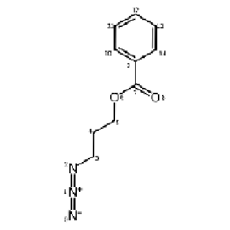 [N-]=[N+]=NCCCOC(=O)c1ccccc1